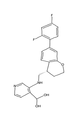 OC(O)c1ccncc1NC[C@H]1CCOc2cc(-c3ccc(F)cc3F)ccc21